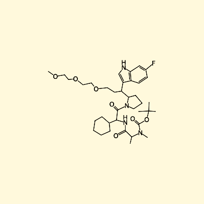 COCCOCCOCCC(c1c[nH]c2cc(F)ccc12)C1CCCN1C(=O)C(NC(=O)C(C)N(C)C(=O)OC(C)(C)C)C1CCCCC1